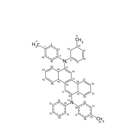 Cc1ccc(N(C2=CC=CC(C)C2)C2=CC3=C(C=C(N(c4ccccc4)c4ccc(C)cc4)C4C=CC=CC34)C3C=CC=CC23)cc1